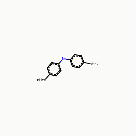 CCCCCCc1ccc([N]c2ccc(CCCCCC)cc2)cc1